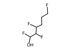 OC(F)C(F)C(F)CCCF